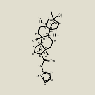 CC[C@]12CC[C@@](C)(O)C[C@@H]1CC[C@H]1[C@@H]3CC[C@H](C(=O)Cn4cccn4)[C@@]3(C)CC[C@@H]12